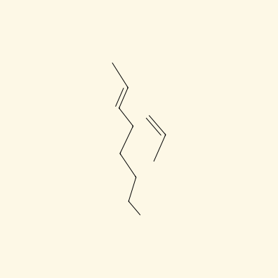 C/C=C/CCCCC.C=CC